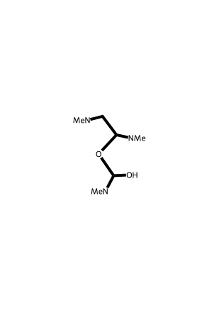 CNCC(NC)OC(O)NC